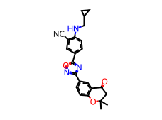 CC1(C)CC(=O)c2cc(-c3noc(-c4ccc(NCC5CC5)c(C#N)c4)n3)ccc2O1